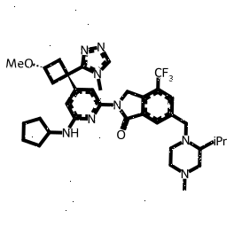 CO[C@H]1C[C@@](c2cc(NC3CCCC3)nc(N3Cc4c(cc(CN5CCN(C)CC5C(C)C)cc4C(F)(F)F)C3=O)c2)(c2nncn2C)C1